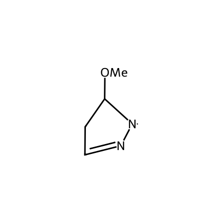 COC1CC=N[N]1